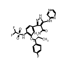 CC[C@H](Oc1cc(-c2n[nH]c(Nc3cnccn3)c2C(N)=O)ccc1NS(=O)(=O)C(F)F)c1ccc(F)cc1